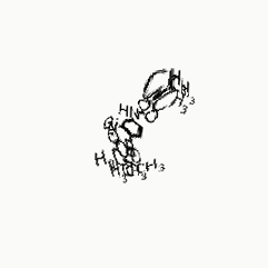 CC(C)(C)OC(=O)Nc1ccc(B2OC(C)(C)C(C)(C)O2)c([N+](=O)[O-])c1